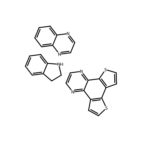 c1ccc2c(c1)CCN2.c1ccc2nccnc2c1.c1cnc2c(n1)c1ccsc1c1ccsc12